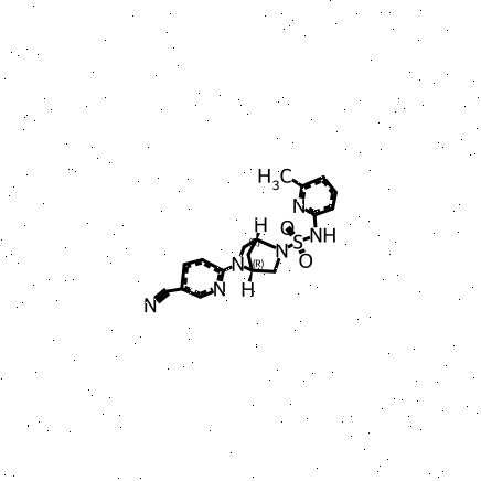 Cc1cccc(NS(=O)(=O)N2C[C@H]3C[C@@H]2CN3c2ccc(C#N)cn2)n1